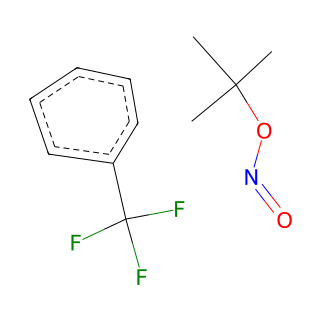 CC(C)(C)ON=O.FC(F)(F)c1ccccc1